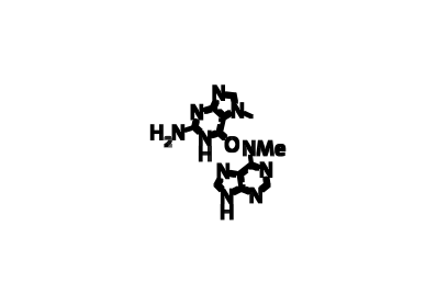 CNc1ncnc2[nH]cnc12.Cn1cnc2nc(N)[nH]c(=O)c21